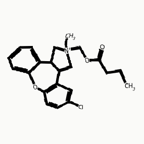 CCCC(=O)OC[N+]1(C)CC2c3ccccc3Oc3ccc(Cl)cc3C2C1